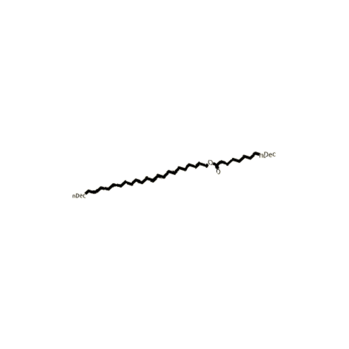 CCCCCCCCCCCCCCCCCCCCCCCCCCCCCCCCOC(=O)CCCCCCCCCCCCCCCCC